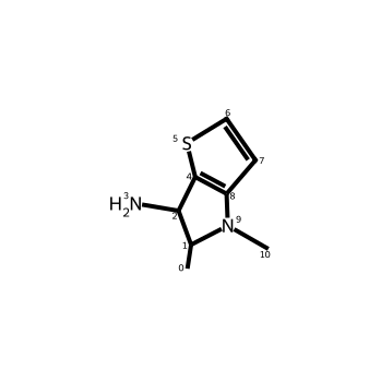 CC1C(N)c2sccc2N1C